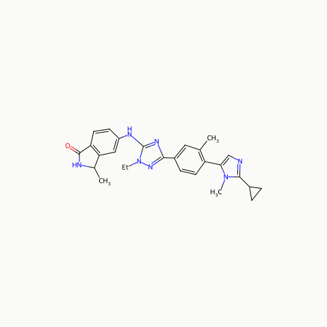 CCn1nc(-c2ccc(-c3cnc(C4CC4)n3C)c(C)c2)nc1Nc1ccc2c(c1)C(C)NC2=O